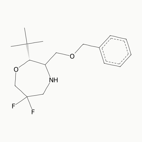 CC(C)(C)[C@H]1OCC(F)(F)CNC1COCc1ccccc1